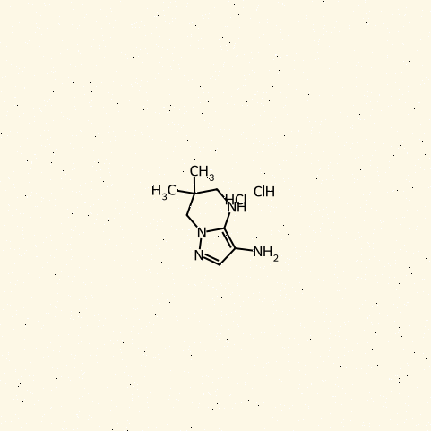 CC1(C)CNc2c(N)cnn2C1.Cl.Cl